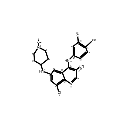 CC(=O)N1CCC(Nc2cc(Cl)c3ncc(C#N)c(Nc4ccc(F)c(Cl)c4)c3c2)CC1